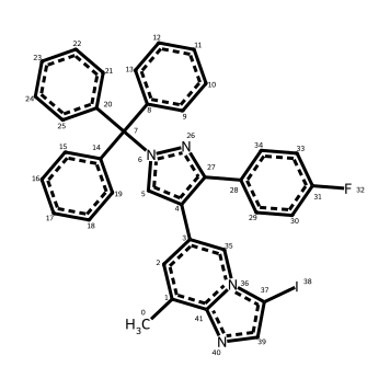 Cc1cc(-c2cn(C(c3ccccc3)(c3ccccc3)c3ccccc3)nc2-c2ccc(F)cc2)cn2c(I)cnc12